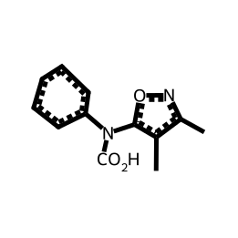 Cc1noc(N(C(=O)O)c2ccccc2)c1C